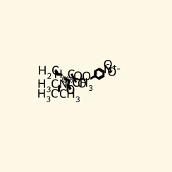 C=CC[C@@H]1[C@H](C(C)(C)OC(=O)OCc2ccc([N+](=O)[O-])cc2)C(=O)N1C(C)C(C)C